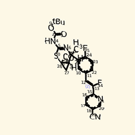 CC(C)(C)OC(=O)NC1=N[C@](C)(c2cc(/C=C(\F)c3ccc(C#N)cn3)ccc2F)[C@@H]2C[C@]2(C(=O)O)S1